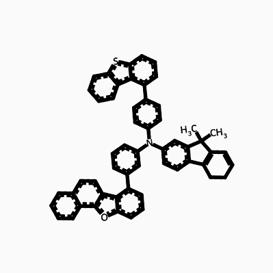 CC1(C)C2=C(CCC=C2)c2ccc(N(c3ccc(-c4cccc5sc6ccccc6c45)cc3)c3cccc(-c4cccc5oc6c7ccccc7ccc6c45)c3)cc21